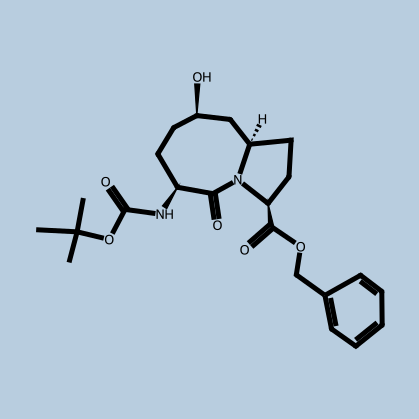 CC(C)(C)OC(=O)N[C@H]1CC[C@@H](O)C[C@H]2CC[C@@H](C(=O)OCc3ccccc3)N2C1=O